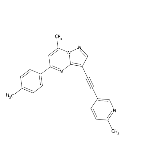 Cc1ccc(-c2cc(C(F)(F)F)n3ncc(C#Cc4ccc(C)nc4)c3n2)cc1